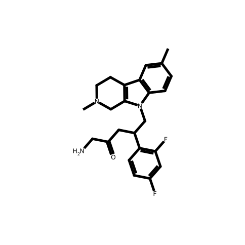 Cc1ccc2c(c1)c1c(n2CC(CC(=O)CN)c2ccc(F)cc2F)CN(C)CC1